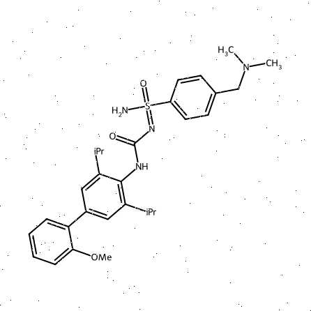 COc1ccccc1-c1cc(C(C)C)c(NC(=O)N=S(N)(=O)c2ccc(CN(C)C)cc2)c(C(C)C)c1